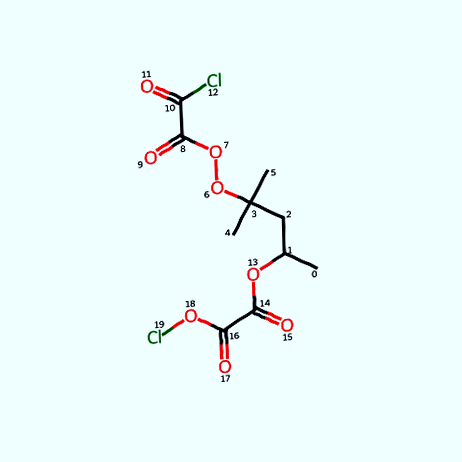 CC(CC(C)(C)OOC(=O)C(=O)Cl)OC(=O)C(=O)OCl